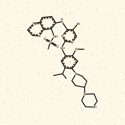 COc1cc(N2CCC(N3CCNCC3)CC2)c(C(C)C)cc1Nc1ncc(Br)c(Nc2ccc3nccnc3c2NS(C)(=O)=O)n1